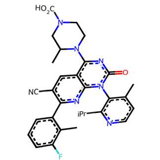 Cc1ccnc(C(C)C)c1-n1c(=O)nc(N2CCN(C(=O)O)CC2C)c2cc(C#N)c(-c3cccc(F)c3C)nc21